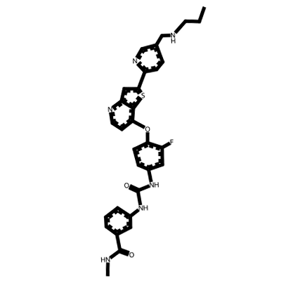 CCCNCc1ccc(-c2cc3nccc(Oc4ccc(NC(=O)Nc5cccc(C(=O)NC)c5)cc4F)c3s2)nc1